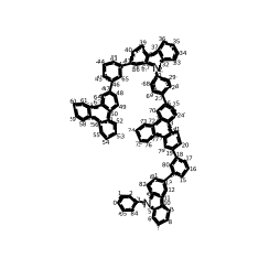 c1ccc(-n2c3ccccc3c3cc(-c4cccc(-c5ccc6c7ccc(-c8ccc(-n9c%10ccccc%10c%10ccc(-c%11cccc(-c%12ccc%13c%14ccccc%14c%14ccccc%14c%13c%12)c%11)cc%109)cc8)cc7c7ccccc7c6c5)c4)ccc32)cc1